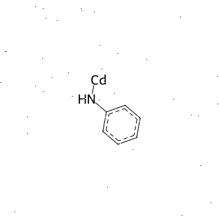 [Cd][NH]c1ccccc1